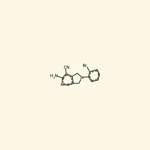 N#Cc1c(N)ncc2c1CN(c1ccccc1Br)C2